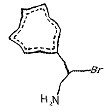 NC(Br)c1ccccc1